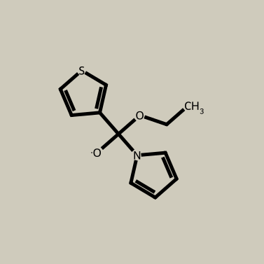 CCOC([O])(c1ccsc1)n1cccc1